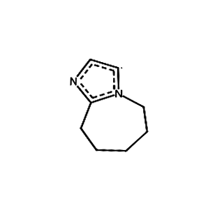 [c]1cnc2n1CCCCC2